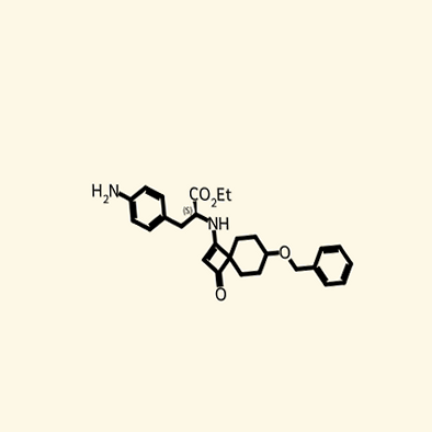 CCOC(=O)[C@H](Cc1ccc(N)cc1)NC1=CC(=O)C12CCC(OCc1ccccc1)CC2